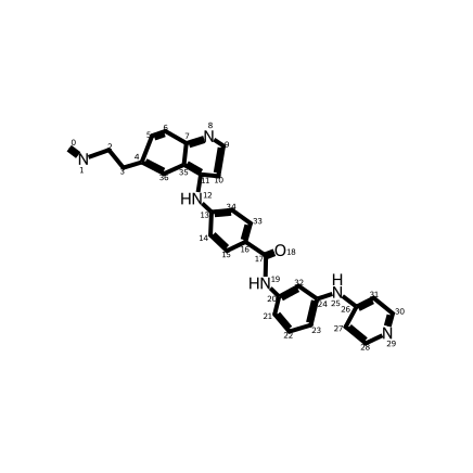 C=NCCc1ccc2nccc(Nc3ccc(C(=O)Nc4cccc(Nc5ccncc5)c4)cc3)c2c1